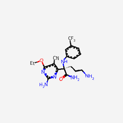 CCOc1nc(N)nc([C@@](CCCN)(Nc2cccc(C(F)(F)F)c2)C(N)=O)c1C#N